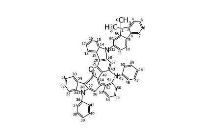 CC1(C)c2ccccc2-c2ccc(-n3c4ccccc4c4c5oc6c(ccc7c6c6ccccc6n7-c6ccccc6)c5c(N(c5ccccc5)c5ccccc5)cc43)cc21